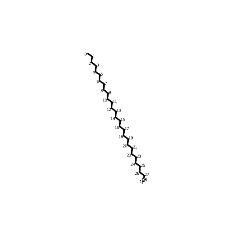 CCCCCCCCCCCCCCCCCCCCCCCCCCCC[P]